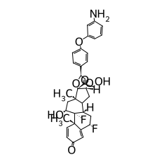 C[C@]12C=CC(=O)C=C1[C@@H](F)C[C@H]1C3C[C@H]4O[C@H](c5ccc(Oc6cccc(N)c6)cc5)O[C@@]4(C(=O)CO)[C@@]3(C)C[C@H](O)[C@@]12F